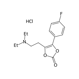 CCN(CC)CCc1oc(=O)oc1-c1ccc(F)cc1.Cl